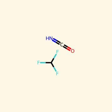 FC(F)F.N=C=O